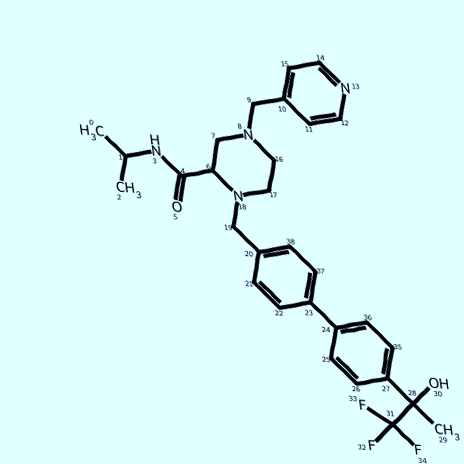 CC(C)NC(=O)C1CN(Cc2ccncc2)CCN1Cc1ccc(-c2ccc(C(C)(O)C(F)(F)F)cc2)cc1